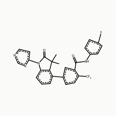 CC1(C)C(=O)N(c2ccncn2)c2cccc(-c3ccc(C(F)(F)F)c(C(=O)Nc4ccc(F)cc4)c3)c21